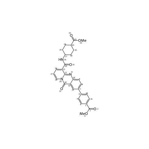 COC(=O)c1ccc(-c2ccc3nc4c(C(=O)NC5CCC(C(=O)OC)CC5)cccn4c(=O)c3c2)cc1